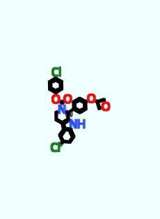 O=C(Oc1ccc(Cl)cc1)N1CCc2c([nH]c3c2=CC(Cl)CC=3)[C@@H]1c1ccc(OC2COC2)cc1